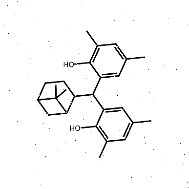 Cc1cc(C)c(O)c(C(c2cc(C)cc(C)c2O)C2CCC3CC2C3(C)C)c1